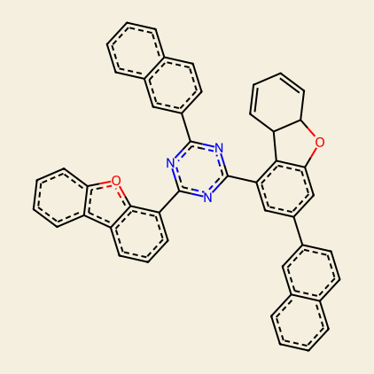 C1=CC2Oc3cc(-c4ccc5ccccc5c4)cc(-c4nc(-c5ccc6ccccc6c5)nc(-c5cccc6c5oc5ccccc56)n4)c3C2C=C1